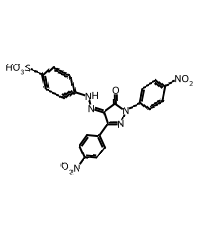 O=C1C(=NNc2ccc(S(=O)(=O)O)cc2)C(c2ccc([N+](=O)[O-])cc2)=NN1c1ccc([N+](=O)[O-])cc1